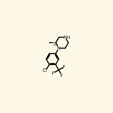 C[C@H]1CNCCN1c1ccc(Cl)c(C(F)(F)F)c1